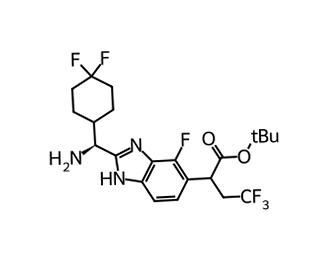 CC(C)(C)OC(=O)C(CC(F)(F)F)c1ccc2[nH]c([C@@H](N)C3CCC(F)(F)CC3)nc2c1F